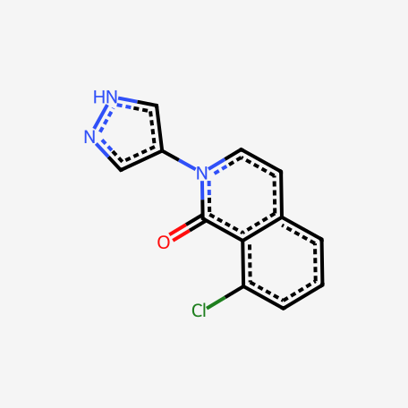 O=c1c2c(Cl)cccc2ccn1-c1cn[nH]c1